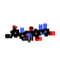 CC(C)(C)c1cc(Br)cc([C@H](CC(=O)O)NC(=O)CNC(=O)c2cc(O)cc(NC3=NCC(O)CN3)c2)c1